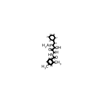 Cc1ccc(C(=O)NNC(=O)C(O)[C@H]([AsH2])CC2CCCCC2)c(C)c1